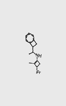 CC1=C(NC(C)C2Cc3ccccc32)CC1C(C)C